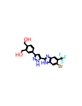 OCc1ccc(-c2cc(-c3nc4cc(C(F)(F)F)c(Br)cc4[nH]3)[nH]n2)cc1CO